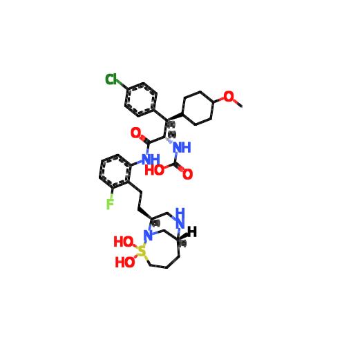 COC1CCC([C@H](c2ccc(Cl)cc2)[C@H](NC(=O)O)C(=O)Nc2cccc(F)c2CC[C@H]2CN[C@@H]3CCCS(O)(O)N2C3)CC1